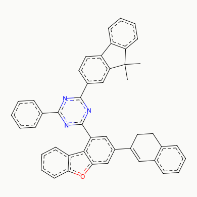 CC1(C)c2ccccc2-c2ccc(-c3nc(-c4ccccc4)nc(-c4cc(C5=Cc6ccccc6CC5)cc5oc6ccccc6c45)n3)cc21